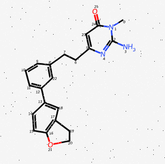 Cn1c(N)nc(CCc2cccc(-c3ccc4c(c3)CCO4)c2)cc1=O